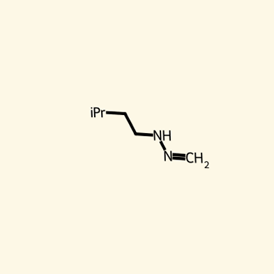 C=NNCCC(C)C